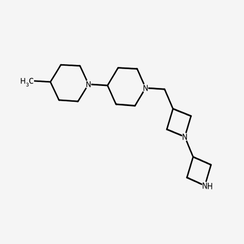 CC1CCN(C2CCN(CC3CN(C4CNC4)C3)CC2)CC1